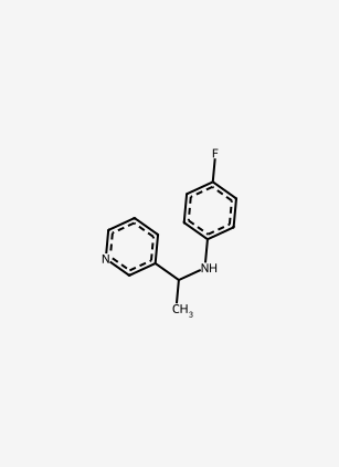 CC(Nc1ccc(F)cc1)c1cccnc1